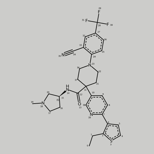 CCc1sccc1-c1ccc(C2(C(=O)N[C@H]3CCN(C)C3)CCN(c3ccc(C(F)(F)F)cc3C#N)CC2)cn1